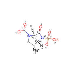 O=C([O-])N1CC[C@@H]2[C@H]1C(=O)N2S(=O)(=O)O.[Na+]